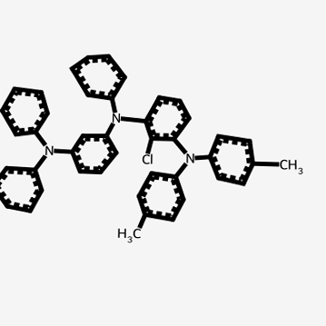 Cc1ccc(N(c2ccc(C)cc2)c2cccc(N(c3ccccc3)c3cccc(N(c4ccccc4)c4ccccc4)c3)c2Cl)cc1